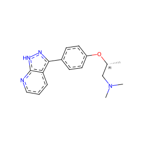 C[C@H](CN(C)C)Oc1ccc(-c2n[nH]c3ncccc23)cc1